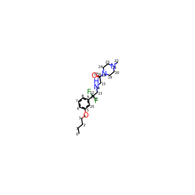 CCCCOc1cccc(C(F)(F)CNCC(=O)N2CCN(C)CC2)c1